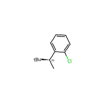 C[C@H](c1ccccc1Cl)C(C)(C)C